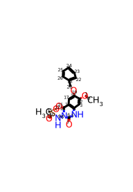 COc1cc2[nH]c(=O)n(NS(C)(=O)=O)c(=O)c2cc1OCc1ccccc1